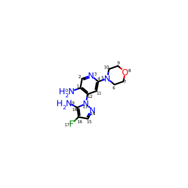 Nc1cnc(N2CCOCC2)cc1-n1ncc(F)c1N